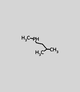 CPCCC(C)C